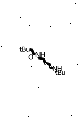 CC(C)(C)CC(=O)NCCCCCNC(C)(C)C